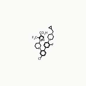 O=C(O)c1cnn(C2CCCN(c3cc(Cl)ccc3-c3ccc(N4CCN(CC5CC5)CC4)c(F)c3)C2)c1C(F)(F)F